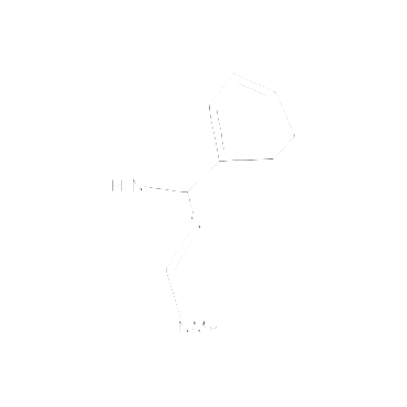 CN/C=N/C(N)c1ccccc1